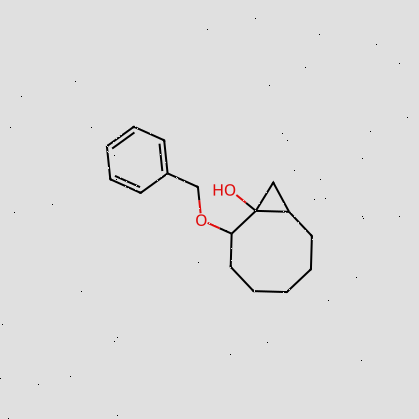 OC12CC1CCCCCC2OCc1ccccc1